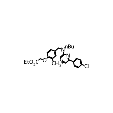 CCCCN(Cc1ccc(OCC(=O)OCC)c(C)c1)c1cncc(-c2ccc(Cl)cc2)n1